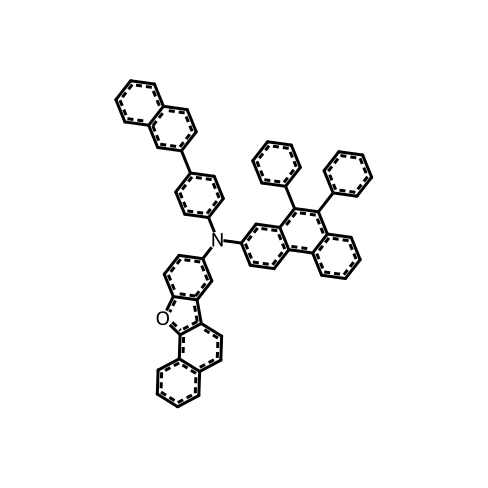 c1ccc(-c2c(-c3ccccc3)c3cc(N(c4ccc(-c5ccc6ccccc6c5)cc4)c4ccc5oc6c7ccccc7ccc6c5c4)ccc3c3ccccc23)cc1